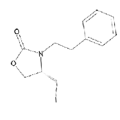 O=C1OC[C@@H](CI)N1CCc1ccccc1